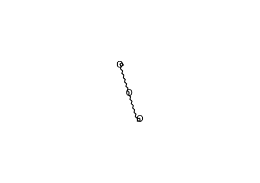 C(CCCCCOCCCCCCCCCCCC1CCO1)CCCCCC1CCO1